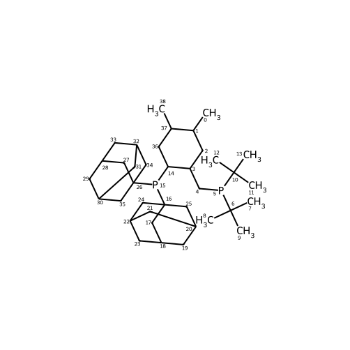 CC1CC(CP(C(C)(C)C)C(C)(C)C)C(P(C23CC4CC(CC(C4)C2)C3)C23CC4CC(CC(C4)C2)C3)CC1C